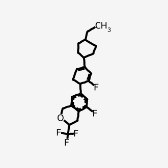 CCC1CCC(C2=CCC(c3cc(F)c4c(c3)COC(C(F)(F)F)C4)C(F)=C2)CC1